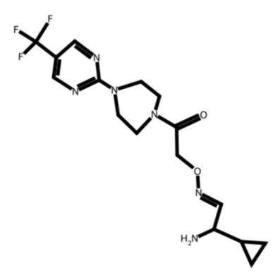 NC(C=NOCC(=O)N1CCN(c2ncc(C(F)(F)F)cn2)CC1)C1CC1